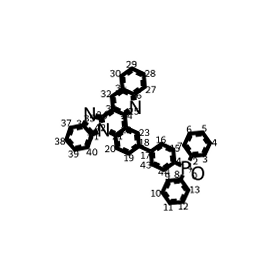 O=P(c1ccccc1)(c1ccccc1)c1ccc(-c2ccc3c(c2)c2nc4ccccc4cc2c2nc4ccccc4n32)cc1